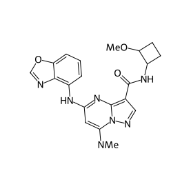 CNc1cc(Nc2cccc3ocnc23)nc2c(C(=O)NC3CCC3OC)cnn12